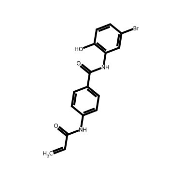 C=CC(=O)Nc1ccc(C(=O)Nc2cc(Br)ccc2O)cc1